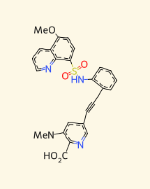 CNc1cc(C#Cc2ccccc2NS(=O)(=O)c2ccc(OC)c3cccnc23)cnc1C(=O)O